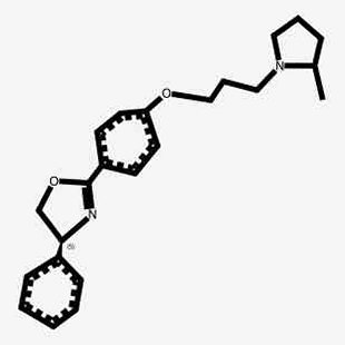 CC1CCCN1CCCOc1ccc(C2=N[C@@H](c3ccccc3)CO2)cc1